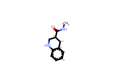 CNC(=O)C1CNc2ccccc2C1